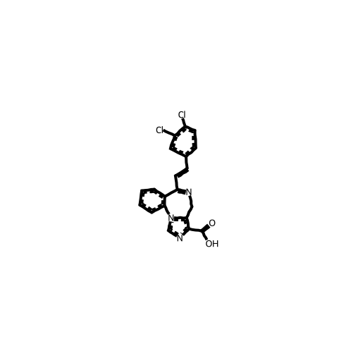 O=C(O)c1ncn2c1CN=C(C=Cc1ccc(Cl)c(Cl)c1)c1ccccc1-2